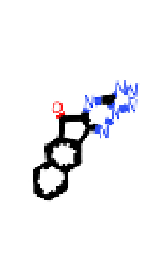 O=C1c2cc3ccccc3cc2-c2nn3nnnc3nc21